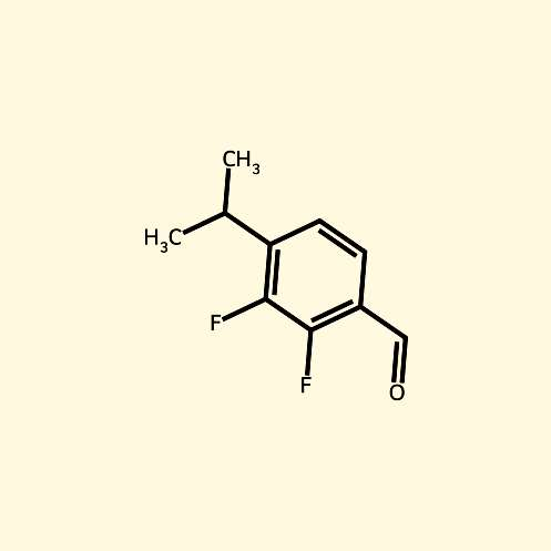 CC(C)c1ccc(C=O)c(F)c1F